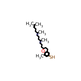 CC(C)=CCC/C(C)=C/CC/C(C)=C/CCC1CCc2cc(S)cc(C)c2O1